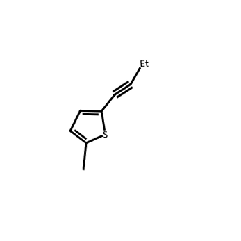 CCC#Cc1ccc(C)s1